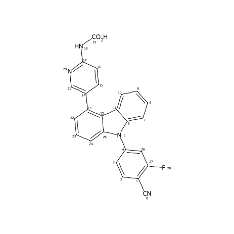 N#Cc1ccc(-n2c3ccccc3c3c(-c4ccc(NC(=O)O)nc4)cccc32)cc1F